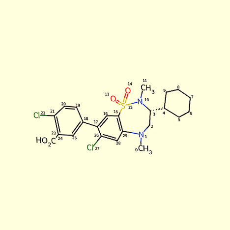 CN1C[C@@H](C2CCCCC2)N(C)S(=O)(=O)c2cc(-c3ccc(Cl)c(C(=O)O)c3)c(Cl)cc21